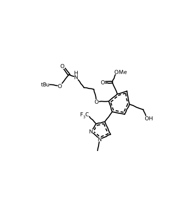 COC(=O)c1cc(CO)cc(-c2cn(C)nc2C(F)(F)F)c1OCCNC(=O)OC(C)(C)C